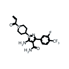 C=CC(=O)N1CCC(n2nc(-c3ccc(C(F)(F)F)c(F)c3)c(C(N)=O)c2N)CC1